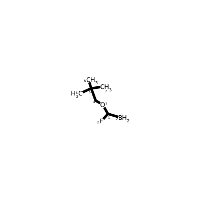 BC(F)OCC(C)(C)C